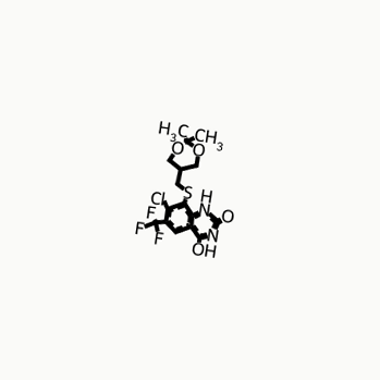 CC1(C)OCC(CSc2c(Cl)c(C(F)(F)F)cc3c(O)nc(=O)[nH]c23)CO1